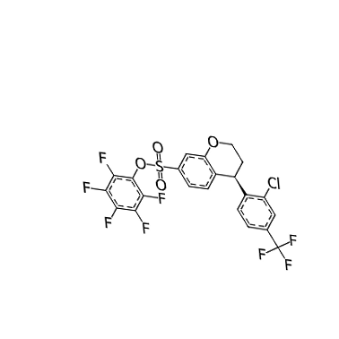 O=S(=O)(Oc1c(F)c(F)c(F)c(F)c1F)c1ccc2c(c1)OCC[C@H]2c1ccc(C(F)(F)F)cc1Cl